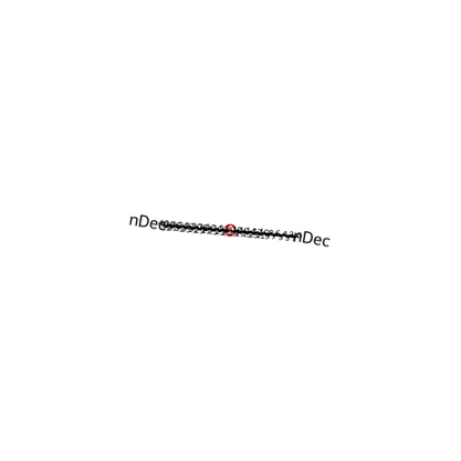 CCCCCCCCCCCCCCCCCCCCCCCCCCCCCOCCCCCCCCCCCCCCCCCCCCCCCCCCCCC